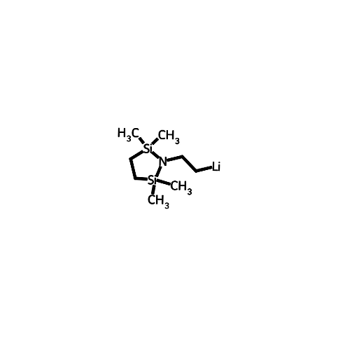 [Li][CH2]CN1[Si](C)(C)CC[Si]1(C)C